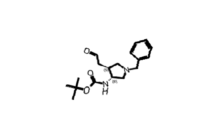 CC(C)(C)OC(=O)N[C@H]1CN(Cc2ccccc2)C[C@@H]1CC=O